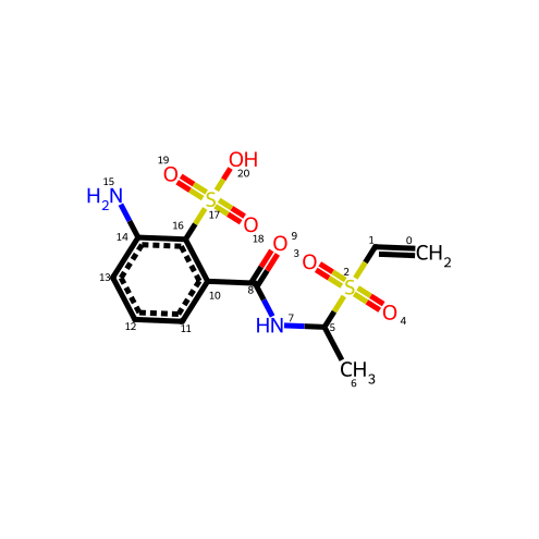 C=CS(=O)(=O)C(C)NC(=O)c1cccc(N)c1S(=O)(=O)O